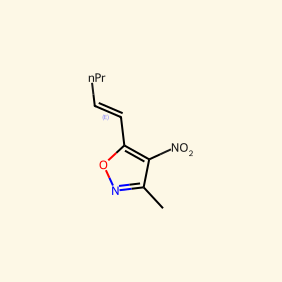 CCC/C=C/c1onc(C)c1[N+](=O)[O-]